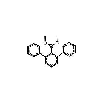 COB(OC)c1c(-c2ccccc2)cccc1-c1ccccc1